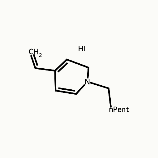 C=CC1=CCN(CCCCCC)C=C1.I